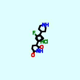 Cl.O=C1CCC(c2ccc(C3CCNCC3)c(F)c2)C(=O)N1